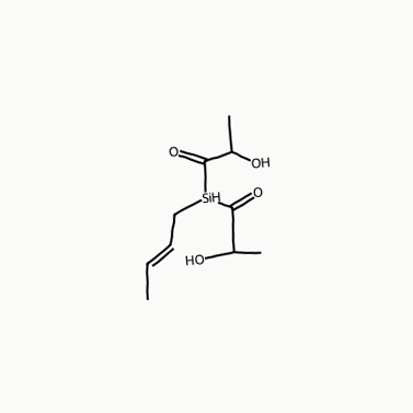 CC=CC[SiH](C(=O)C(C)O)C(=O)C(C)O